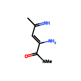 CNC(=O)/C(N)=C/C(C)=N